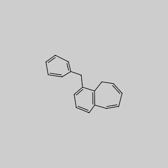 C1=CCc2c(cccc2Cc2ccccc2)C=C1